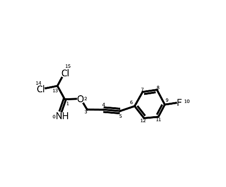 N=C(OCC#Cc1ccc(F)cc1)C(Cl)Cl